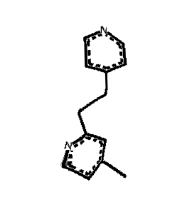 Cc1ccnc(CCc2ccncc2)c1